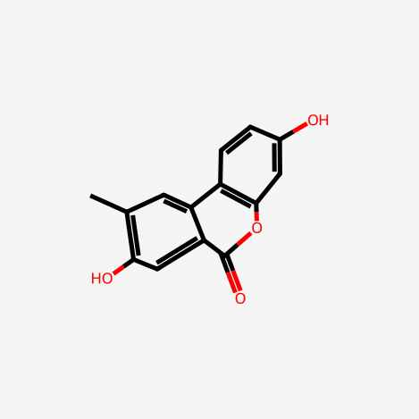 Cc1cc2c(cc1O)c(=O)oc1cc(O)ccc12